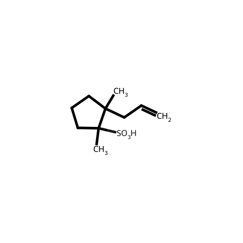 C=CCC1(C)CCCC1(C)S(=O)(=O)O